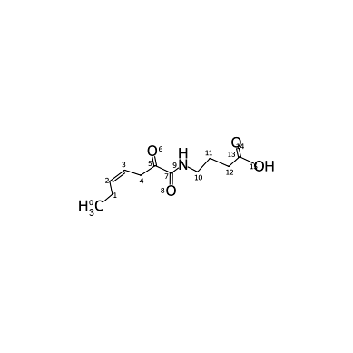 CC/C=C\CC(=O)C(=O)NCCCC(=O)O